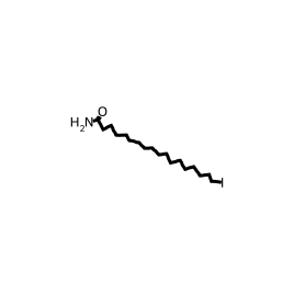 NC(=O)CCCCCCCCCCCCCCCCCI